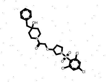 O=C(COC1CCN(S(=O)(=O)c2c(Cl)cc(Cl)cc2Cl)C1)N1CCC(O)(Cc2ccccc2)CC1